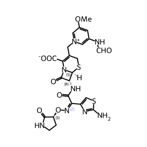 COc1cc(NC=O)c[n+](CC2=C(C(=O)[O-])N3C(=O)[C@@H](NC(=O)/C(=N\O[C@H]4CCNC4=O)c4csc(N)n4)[C@@H]3SC2)c1